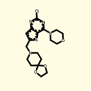 Clc1nc(N2CCOCC2)c2sc(CN3CCC4(CC3)OCCO4)cc2n1